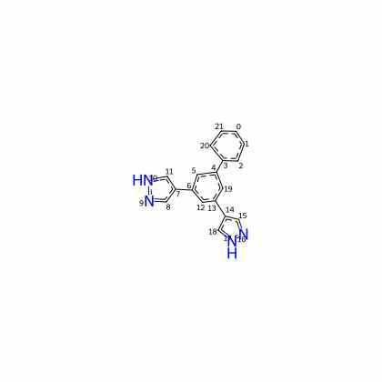 c1ccc(-c2cc(-c3cn[nH]c3)cc(-c3cn[nH]c3)c2)cc1